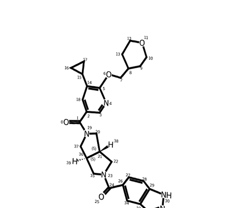 O=C(c1cnc(OCC2CCOCC2)c(C2CC2)c1)N1C[C@@H]2CN(C(=O)c3ccc4[nH]nnc4c3)C[C@H]2C1